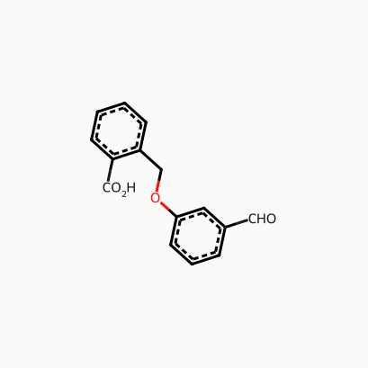 O=Cc1cccc(OCc2ccccc2C(=O)O)c1